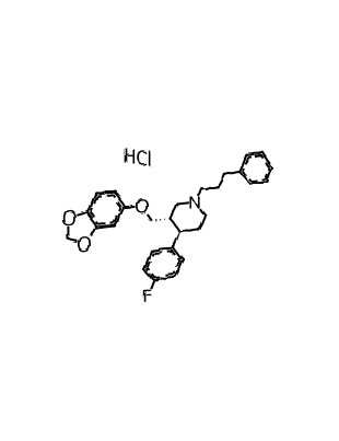 Cl.Fc1ccc([C@@H]2CCN(CCCc3ccccc3)C[C@H]2COc2ccc3c(c2)OCO3)cc1